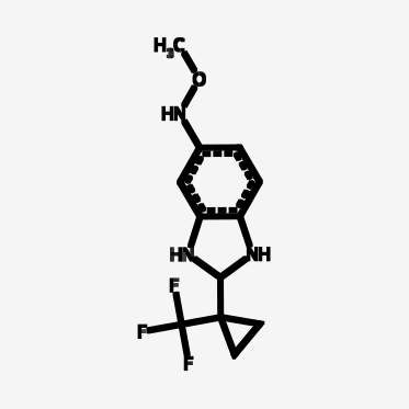 CONc1ccc2c(c1)NC(C1(C(F)(F)F)CC1)N2